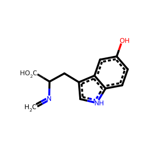 C=NC(Cc1c[nH]c2ccc(O)cc12)C(=O)O